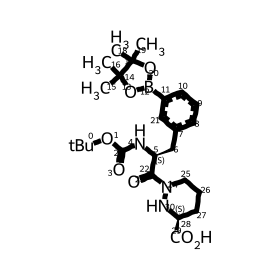 CC(C)(C)OC(=O)N[C@@H](Cc1cccc(B2OC(C)(C)C(C)(C)O2)c1)C(=O)N1CCC[C@@H](C(=O)O)N1